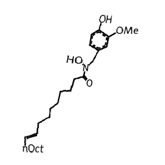 CCCCCCCCC=CCCCCCCCC(=O)N(O)Cc1ccc(O)c(OC)c1